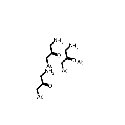 CC(=O)CC(=O)CN.CC(=O)CC(=O)CN.CC(=O)CC(=O)CN.[Al]